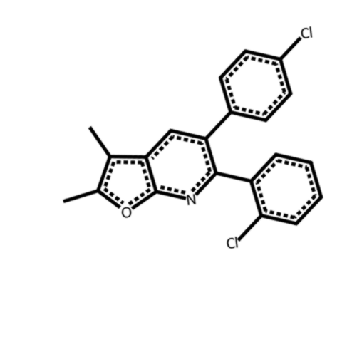 Cc1oc2nc(-c3ccccc3Cl)c(-c3ccc(Cl)cc3)cc2c1C